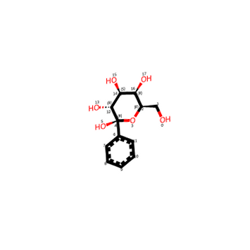 OC[C@H]1O[C@](O)(c2ccccc2)[C@H](O)[C@@H](O)[C@H]1O